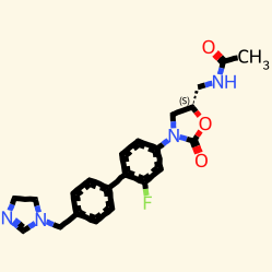 CC(=O)NC[C@H]1CN(c2ccc(-c3ccc(CN4C=NCC4)cc3)c(F)c2)C(=O)O1